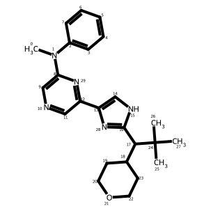 CN(c1ccccc1)c1cncc(-c2c[nH]c(C(C3CCOCC3)C(C)(C)C)n2)n1